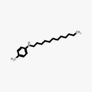 [CH2]c1ccc(NCCCCCCCCCCCC)cc1